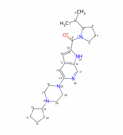 CC(C)C1CCCN1C(=O)c1cc2cc(N3CCN(C4CCCC4)CC3)ncc2[nH]1